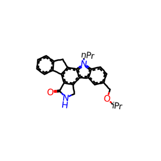 CCCn1c2ccc(COC(C)C)cc2c2c3c(c4c(c21)Cc1ccccc1-4)C(=O)NC3